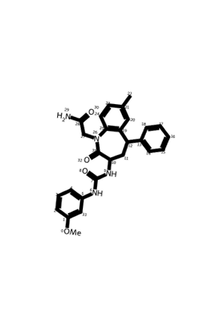 COc1cccc(NC(=O)NC2CC(c3ccccc3)c3cc(C)ccc3N(CC(N)=O)C2=O)c1